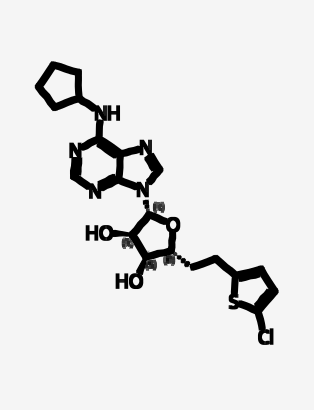 O[C@@H]1[C@H](O)[C@@H](CCc2ccc(Cl)s2)O[C@H]1n1cnc2c(NC3CCCC3)ncnc21